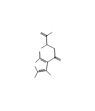 CCc1sc2c(c1CC)C(=O)CC(C(N)=O)S2